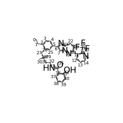 CCc1ccc(-c2cn3nc(-c4cccnc4C(F)(F)F)ccc3n2)cc1CC(C)(C)CCNC(=O)c1ccccc1O